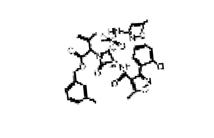 C=C(C)C(C(=O)OCc1cccc(C)c1)N1C(=O)[C@@H](NC(=O)c2c(-c3ccccc3Cl)noc2C)[C@H]1S(=O)(=O)Nc1cc(C)on1